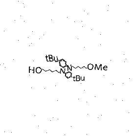 COCCCCCCN1c2ccc(C(C)(C)C)cc2N(CCCCCCO)c2ccc(C(C)(C)C)cc21